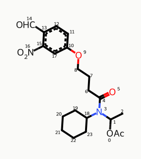 CC(=O)OC(C)N(C(=O)CCCOc1ccc(C=O)c([N+](=O)[O-])c1)C1CCCCC1